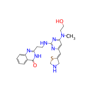 CN(CCO)c1cc(C=C2CNCS2)nc(NCCc2nc3ccccc3c(=O)[nH]2)n1